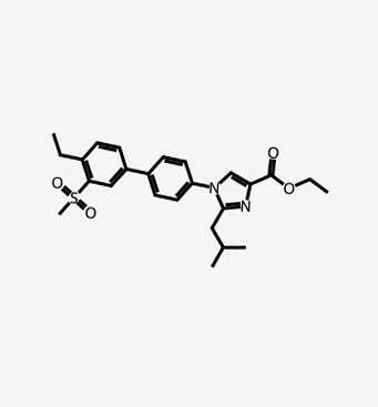 CCOC(=O)c1cn(-c2ccc(-c3ccc(CC)c(S(C)(=O)=O)c3)cc2)c(CC(C)C)n1